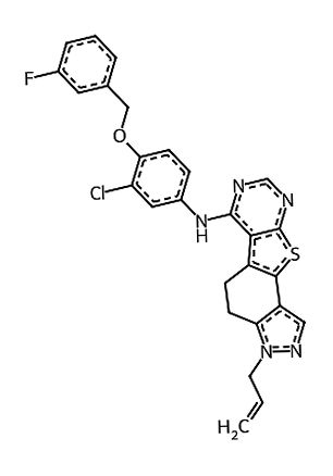 C=CCn1ncc2c1CCc1c-2sc2ncnc(Nc3ccc(OCc4cccc(F)c4)c(Cl)c3)c12